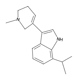 CC(C)c1cccc2c(C3=CCCN(C)C3)c[nH]c12